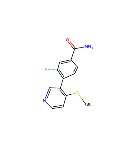 CC(C)(C)Sc1ccncc1-c1ccc(C(N)=O)cc1F